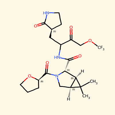 CC1(C)[C@@H]2[C@@H](C(=O)NC(C[C@@H]3CCNC3=O)C(=O)COC(F)(F)F)N(C(=O)[C@H]3CCCO3)C[C@@H]21